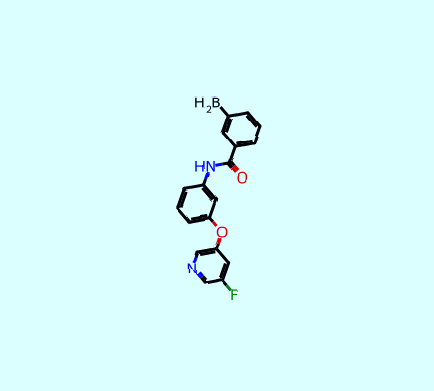 Bc1cccc(C(=O)Nc2cccc(Oc3cncc(F)c3)c2)c1